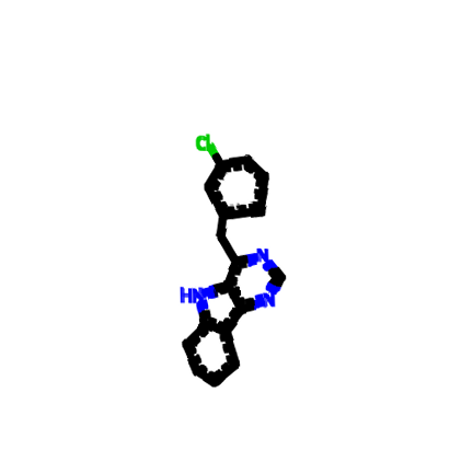 Clc1cccc(Cc2ncnc3c2[nH]c2ccccc23)c1